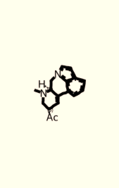 CC(=O)[C@H]1C=C2c3cccc4ccn(c34)C[C@@H]2N(C)C1